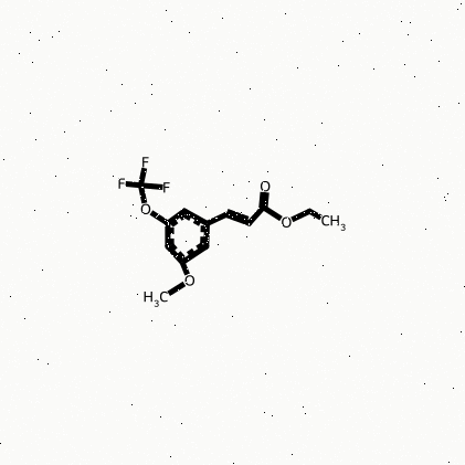 CCOC(=O)/C=C/c1cc(OC)cc(OC(F)(F)F)c1